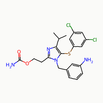 CC(C)c1nc(CCOC(N)=O)n(Cc2cccc(N)c2)c1Sc1cc(Cl)cc(Cl)c1